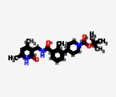 Cc1cc(C)c(CNC(=O)c2cccc(C3CCN(C(=O)OC(C)(C)C)CC3)c2C)c(=O)[nH]1